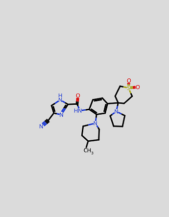 CC1CCN(c2cc(C3(N4CCCC4)CCS(=O)(=O)CC3)ccc2NC(=O)c2nc(C#N)c[nH]2)CC1